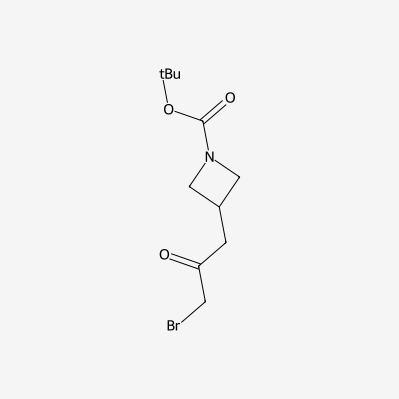 CC(C)(C)OC(=O)N1CC(CC(=O)CBr)C1